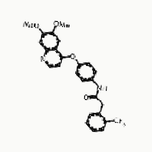 COc1cc2nccc(Oc3ccc(NC(=O)Cc4ccccc4C(F)(F)F)cc3)c2cc1OC